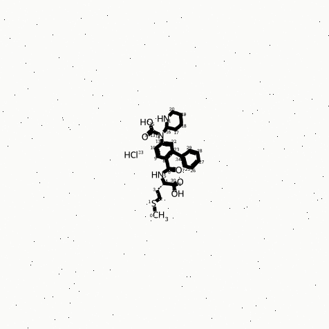 CSCC[C@H](NC(=O)c1ccc(N(C(=O)O)C2CCCCN2)cc1-c1ccccc1)C(=O)O.Cl